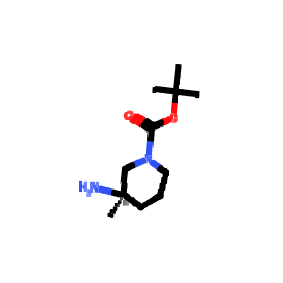 CC(C)(C)OC(=O)N1CCC[C@@](C)(N)C1